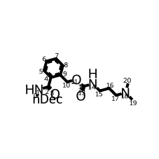 CCCCCCCCCCNC(=O)c1ccccc1COC(=O)NCCCN(C)C